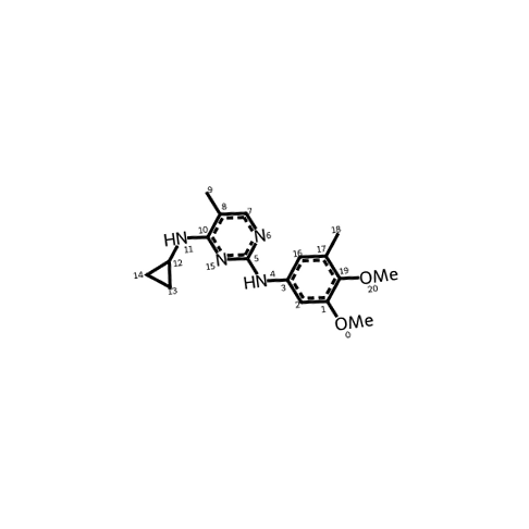 COc1cc(Nc2ncc(C)c(NC3CC3)n2)cc(C)c1OC